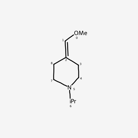 COC=C1CCN(C(C)C)CC1